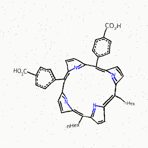 CCCCCCC1=C2C=CC(=N2)C(CCCCCC)=C2C=CC(=N2)C(c2ccc(C(=O)O)cc2)=C2C=CC(=N2)C(c2ccc(C(=O)O)cc2)=C2C=CC1=N2